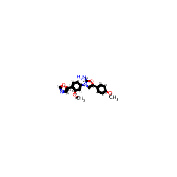 COc1ccc(C2=CN(c3ccc(-c4cnco4)c(OC)c3)C(N)O2)cc1